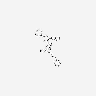 O=C(O)[C@@H]1C[C@H](C2CCCCC2)CN1C(=O)CP(=O)(O)CCCCc1ccccc1